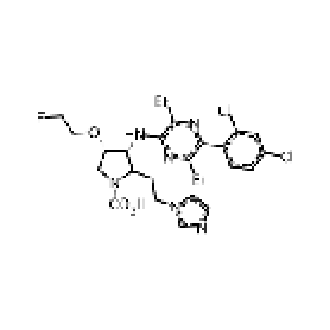 CCc1nc(-c2ccc(Cl)cc2Cl)c(CC)nc1N[C@@H]1C(CCn2ccnc2)N(C(=O)O)C[C@@H]1OCCF